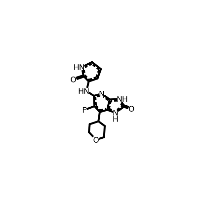 O=c1[nH]c2nc(Nc3ccc[nH]c3=O)c(F)c(C3CCOCC3)c2[nH]1